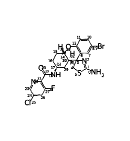 NC1=NC2(CS1)c1cc(Br)ccc1O[C@H]1CC[C@H](NC(=O)c3ncc(Cl)cc3F)C[C@@H]12